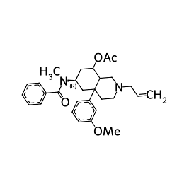 C=CCN1CCC2(c3cccc(OC)c3)C[C@@H](N(C)C(=O)c3ccccc3)CC(OC(C)=O)C2C1